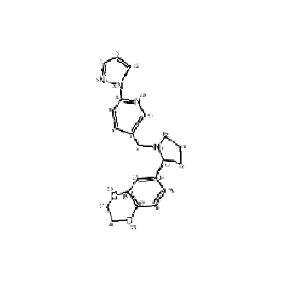 c1cnn(-c2ccc(CN3CCCC3c3ccc4c(c3)OCCO4)cn2)c1